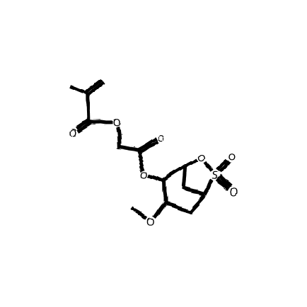 C=C(C)C(=O)OCC(=O)OC1C(OC)CC2CC1OS2(=O)=O